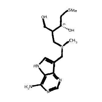 CSC[C@H](O)C(CO)CN(C)Cc1c[nH]c2c(N)ncnc12